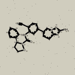 N#Cc1ccc(-c2ccc3nc(N)nn3c2)cc1NC(=O)N1OCC[C@H]1c1ccccc1